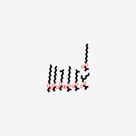 C=C(C)C(=O)OCC(CC)CCCC.C=C(C)C(=O)OCCCCCC(C)C.C=C(C)C(=O)OCCCCCCCCC.C=C(C)C(=O)OCCCCCCCCCC.C=CC(=O)OCCCCCC(C)C.C=CC(=O)OCCCCCCCCC.C=CC(=O)OCCCCCCCCCC